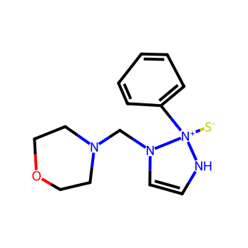 [S-][N+]1(c2ccccc2)NC=CN1CN1CCOCC1